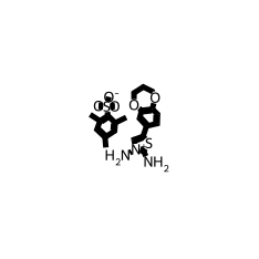 Cc1cc(C)c(S(=O)(=O)[O-])c(C)c1.Nc1sc(-c2ccc3c(c2)OCCCO3)c[n+]1N